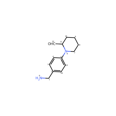 NCc1ccc(N2CCCCC2C=O)cc1